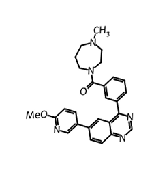 COc1ccc(-c2ccc3ncnc(-c4cccc(C(=O)N5CCCN(C)CC5)c4)c3c2)cn1